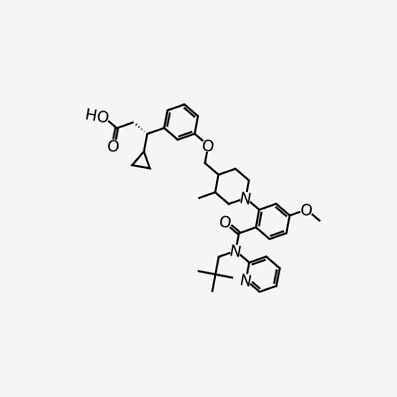 COc1ccc(C(=O)N(CC(C)(C)C)c2ccccn2)c(N2CCC(COc3cccc([C@@H](CC(=O)O)C4CC4)c3)C(C)C2)c1